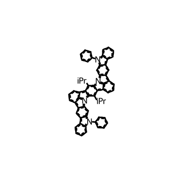 CC(C)c1c2c3cccc4c5cc6c7ccccc7n(-c7ccccc7)c6cc5n(c2c(C(C)C)c2c5cccc6c7cc8c9ccccc9n(-c9ccccc9)c8cc7n(c12)c65)c43